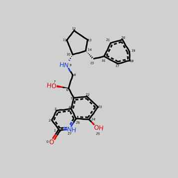 O=c1ccc2c([C@@H](O)CN[C@@H]3CCC[C@@H]3Cc3ccccc3)ccc(O)c2[nH]1